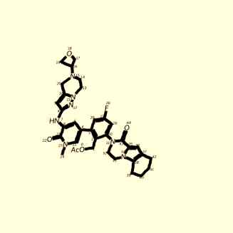 CC(=O)OCc1c(-c2cc(Nc3cc4n(n3)CCN(C3COC3)C4)c(=O)n(C)c2)cc(F)cc1N1CCn2c(cc3c2CCCC3)C1=O